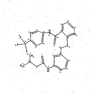 CN(C)CC(=O)Nc1cc(CSc2ncccc2C(=O)Nc2ccc(C(F)(F)F)cc2)ccn1